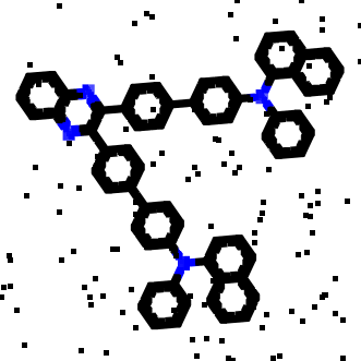 c1ccc(N(c2ccc(-c3ccc(-c4nc5ccccc5nc4-c4ccc(-c5ccc(N(c6ccccc6)c6cccc7ccccc67)cc5)cc4)cc3)cc2)c2cccc3ccccc23)cc1